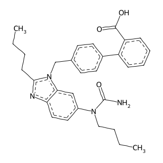 CCCCc1nc2ccc(N(CCCC)C(N)=O)cc2n1Cc1ccc(-c2ccccc2C(=O)O)cc1